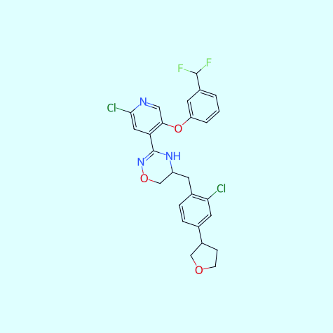 FC(F)c1cccc(Oc2cnc(Cl)cc2C2=NOCC(Cc3ccc(C4CCOC4)cc3Cl)N2)c1